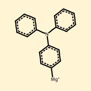 [Mg+][c]1ccc(N(c2ccccc2)c2ccccc2)cc1